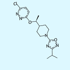 CC(C)c1noc(N2CCC([C@H](C)Oc3ccc(Cl)nn3)CC2)n1